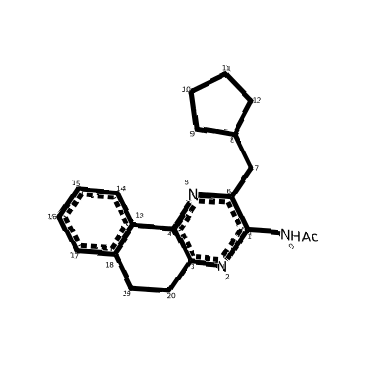 CC(=O)Nc1nc2c(nc1CC1CCCC1)-c1ccccc1CC2